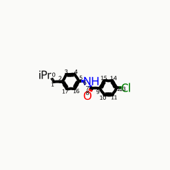 CC(C)Cc1ccc(NC(=O)c2ccc(Cl)cc2)cc1